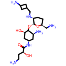 NCC[C@H](O)C(=O)N[C@H]1C[C@@H](O)C(O[C@H]2O[C@H](CN)CC[C@H]2NCC2CC(N)C2)[C@@H](N)C1